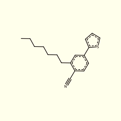 CCCCCCCc1cc(-c2cccs2)ccc1C#N